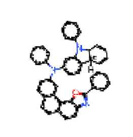 C1=CC2[C@H](C=C1)c1ccc(N(c3ccccc3)c3ccc4ccc5ccc6nc(-c7ccccc7)oc6c5c4c3)cc1N2c1ccccc1